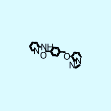 O=C(Nc1ccccn1)c1ccc(COc2cccn3ccnc23)cc1